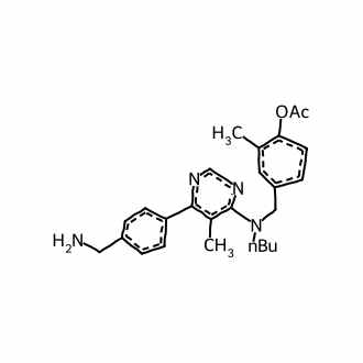 CCCCN(Cc1ccc(OC(C)=O)c(C)c1)c1ncnc(-c2ccc(CN)cc2)c1C